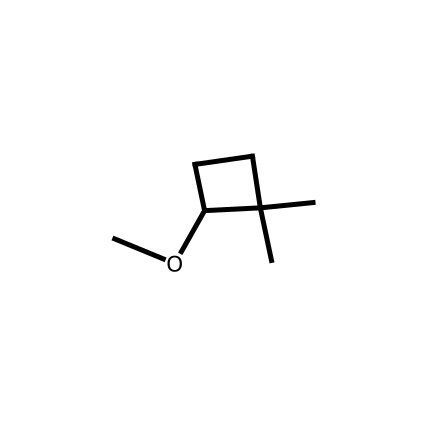 COC1CCC1(C)C